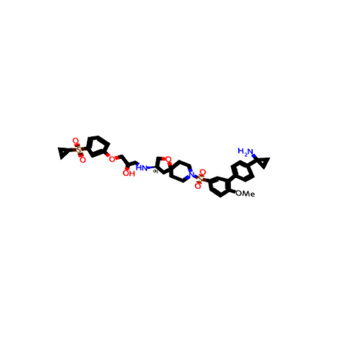 COc1ccc(S(=O)(=O)N2CCC3(CC2)C[C@@H](NCC(O)COc2cccc(S(=O)(=O)C4CC4)c2)CO3)cc1-c1ccc(C2(N)CC2)cc1